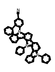 N#Cc1ccc(-n2c3ccccc3c3c2ccc2c4ccc5c(c6ccccc6n5-c5ccccc5)c4n(-c4ccccc4)c23)c(-c2ccccc2)c1